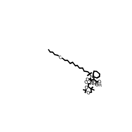 CCCCCCCCCCCCCCCCCC(C)(C)N(C(N)=O)C1(C(CNC(=O)C2OC(C)(C)OCC2(C)C)C(=O)O)CCCCCC1